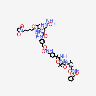 CN[C@H](C(=O)N[C@H](C(=O)N(C)[C@H](/C=C(\C)C(=O)NS(=O)(=O)Cc1ccccc1)C(C)C)C(C)(C)C)C(C)(C)c1ccc(CNC(=O)OCc2ccc(NC(=O)[C@@H](CCCNC(N)=O)NC(=O)C(NC(=O)CCCCCN3C(=O)C=CC3=O)C(C)C)cc2)cc1